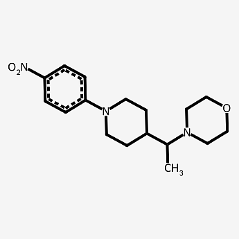 CC(C1CCN(c2ccc([N+](=O)[O-])cc2)CC1)N1CCOCC1